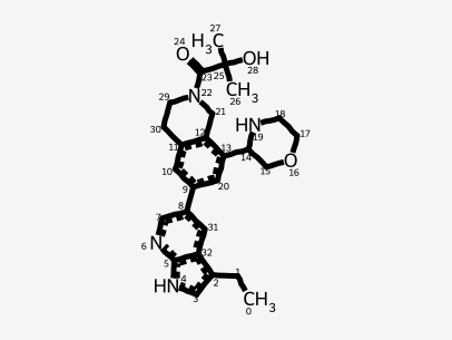 CCc1c[nH]c2ncc(-c3cc4c(c(C5COCCN5)c3)CN(C(=O)C(C)(C)O)CC4)cc12